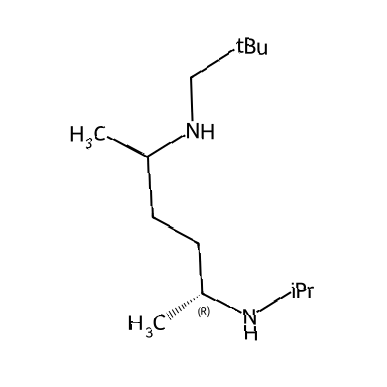 CC(C)N[C@H](C)CCC(C)NCC(C)(C)C